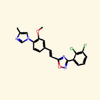 COc1cc(/C=C/c2nc(-c3cccc(Cl)c3Cl)no2)ccc1-n1cnc(C)c1